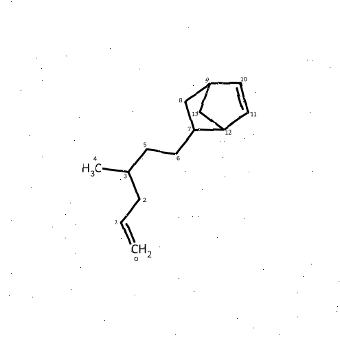 C=CCC(C)CCC1CC2C=CC1C2